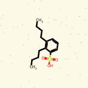 CCCCc1cccc(S(=O)(=O)O)c1CCCC